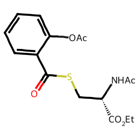 CCOC(=O)[C@H](CSC(=O)c1ccccc1OC(C)=O)NC(C)=O